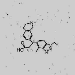 CCn1nnc2c(C)c([C@H](c3ccc4c(c3)CNCC4)[C@H](C)C(=O)O)ccc21